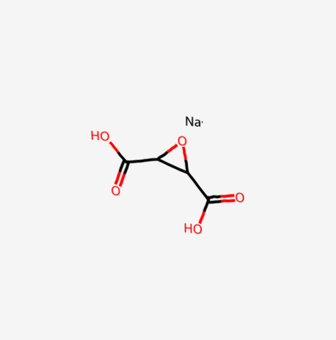 O=C(O)C1OC1C(=O)O.[Na]